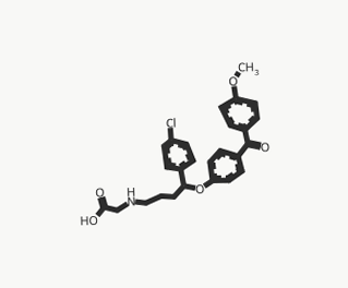 COc1ccc(C(=O)c2ccc(OC(CCCNCC(=O)O)c3ccc(Cl)cc3)cc2)cc1